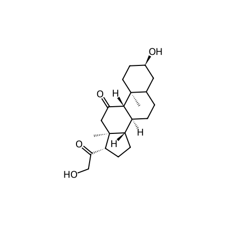 C[C@]12CC(=O)[C@H]3[C@@H](CCC4C[C@H](O)CC[C@@]43C)[C@@H]1CC[C@@H]2C(=O)CO